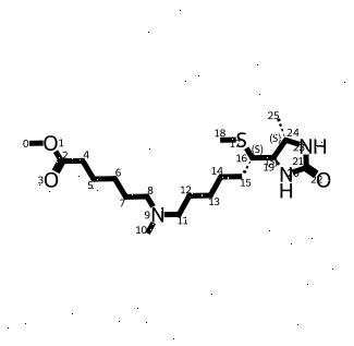 COC(=O)CCCCCN(C)CCCCC[C@H](SC)[C@H]1NC(=O)N[C@H]1C